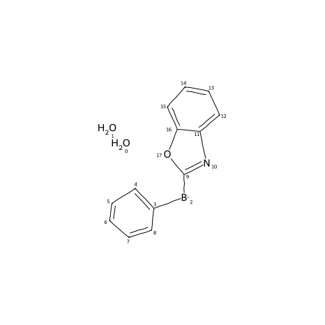 O.O.[B](c1ccccc1)c1nc2ccccc2o1